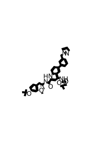 COC[C@H](Cc1ccc(OC(C)(C)C)cc1)NC(=O)c1cc(NS(=O)(=O)C(C)(C)C)c2cc(-c3cccc(Cn4cccn4)c3)ccc2n1